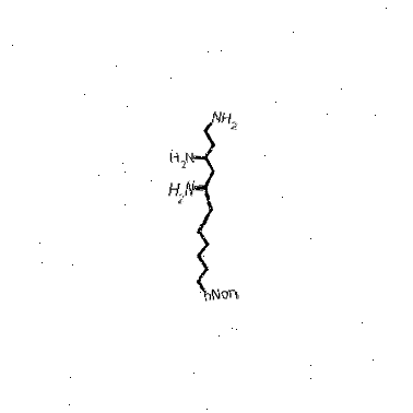 CCCCCCCCCCCCCCCC(N)CC(N)CCN